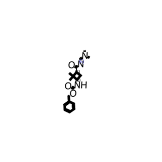 CN(C)/C=N/C(=O)[C@H]1C[C@@H](NC(=O)OCc2ccccc2)C1(C)C